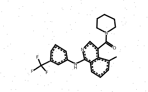 Cc1cccc2c(Nc3cccc(C(F)(F)F)c3)ncc(C(=O)N3CCCCC3)c12